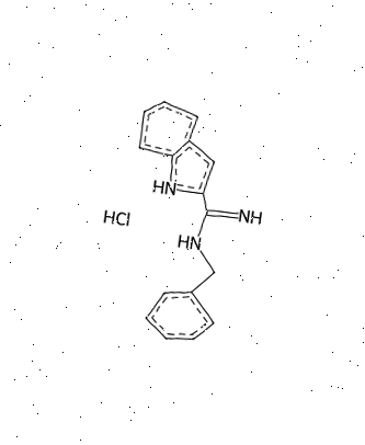 Cl.N=C(NCc1ccccc1)c1cc2ccccc2[nH]1